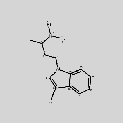 CCN(CC)C(C)CCn1nc(I)c2ccccc21